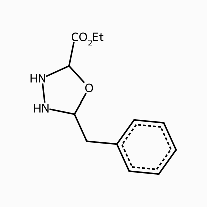 CCOC(=O)C1NNC(Cc2ccccc2)O1